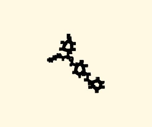 [N-]=[N+]=NCC(OCc1ccc(CCc2ccccc2)cc1)c1ccc(F)cc1